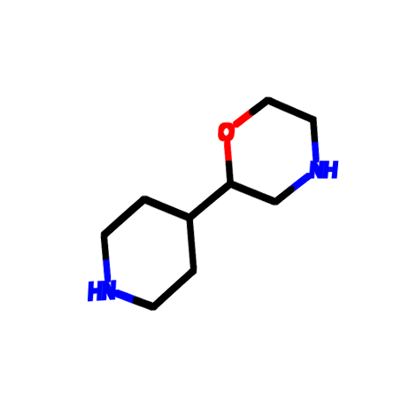 C1CC(C2CNCCO2)CCN1